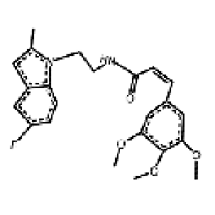 COc1cc(/C=C\C(=O)NCCn2c(C)cc3cc(F)ccc32)cc(OC)c1OC